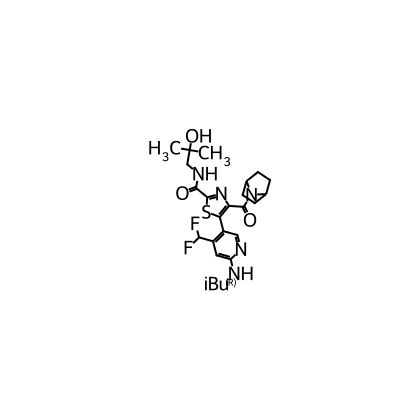 CC[C@@H](C)Nc1cc(C(F)F)c(-c2sc(C(=O)NCC(C)(C)O)nc2C(=O)N2C3CCC2CC3)cn1